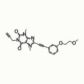 C#CCn1c(=O)c2c(nc(C#Cc3cccc(OCCOC)c3)n2C)n(C)c1=O